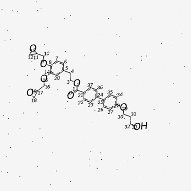 O=C(OCCc1ccc(OCC2CO2)c(OCC2CO2)c1)c1ccc(-c2ccc(OCCCO)cc2)cc1